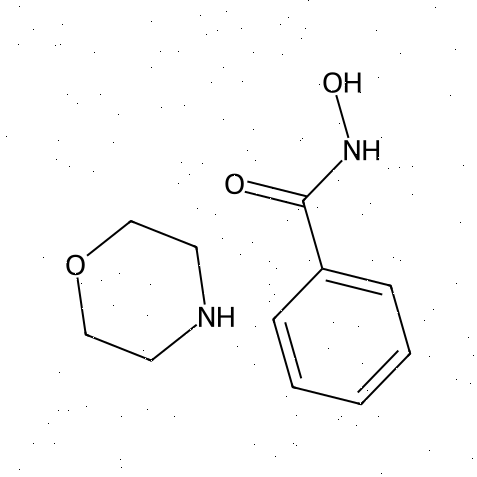 C1COCCN1.O=C(NO)c1ccccc1